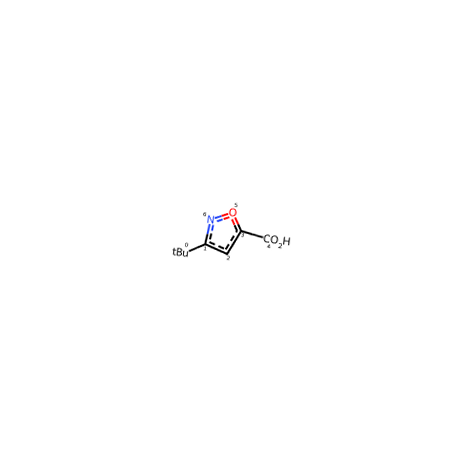 CC(C)(C)c1cc(C(=O)O)on1